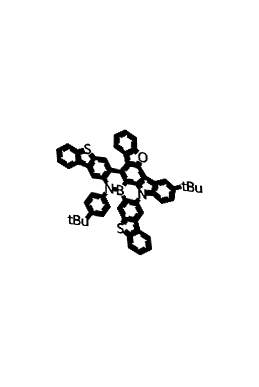 CC(C)(C)c1ccc(N2B3c4cc5sc6ccccc6c5cc4-n4c5ccc(C(C)(C)C)cc5c5c6oc7ccccc7c6c(c3c54)-c3cc4sc5ccccc5c4cc32)cc1